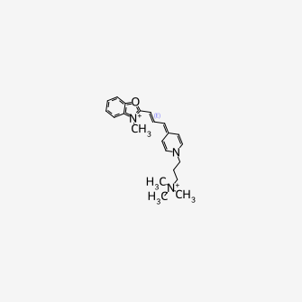 C[n+]1c(/C=C/C=C2C=CN(CCC[N+](C)(C)C)C=C2)oc2ccccc21